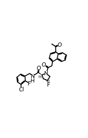 CC(=O)c1ccc(CC(=O)N2C[C@H](F)C[C@H]2C(=O)NCc2cccc(Cl)c2F)c2ccccc12